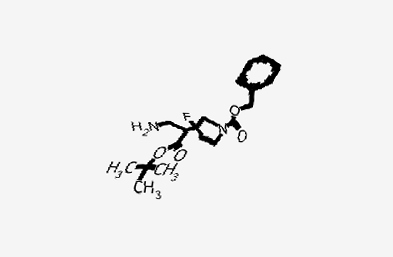 CC(C)(C)OC(=O)C(CN)C1(F)CCN(C(=O)OCc2ccccc2)C1